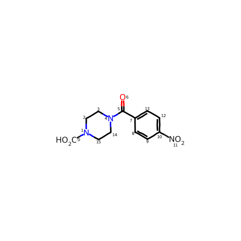 O=C(O)N1CCN(C(=O)c2ccc([N+](=O)[O-])cc2)CC1